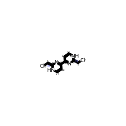 Cl/C=C1/N=C(C2=N/C(=C/Cl)NC=C2)C=CN1